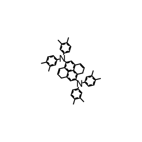 Cc1ccc(N(c2ccc(C)c(C)c2)c2cc3c4c(c(N(c5ccc(C)c(C)c5)c5ccc(C)c(C)c5)cc5c4c2C=CC5)CC=C3)cc1C